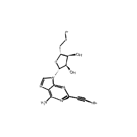 CCCCC#Cc1nc(N)c2ncn([C@@H]3O[C@H](CSC(C)C)[C@@H](O)[C@H]3O)c2n1